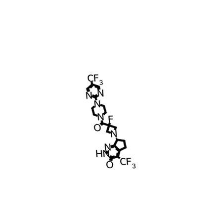 O=C(N1CCN(c2ncc(C(F)(F)F)cn2)CC1)C1(F)CN([C@@H]2CCc3c2n[nH]c(=O)c3C(F)(F)F)C1